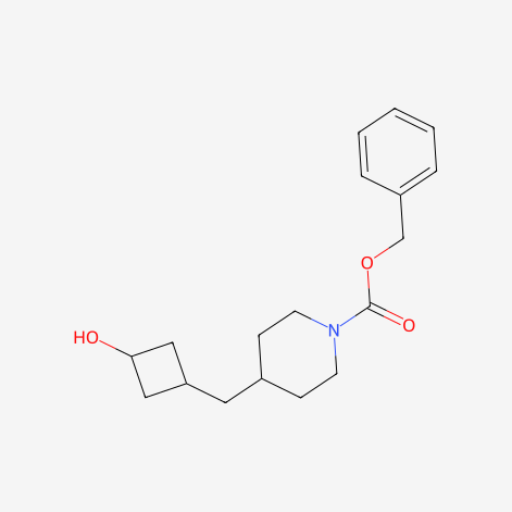 O=C(OCc1ccccc1)N1CCC(CC2CC(O)C2)CC1